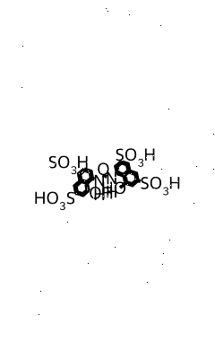 O=C(Nc1cc(S(=O)(=O)O)cc2cc(S(=O)(=O)O)cc(O)c12)Nc1cc(S(=O)(=O)O)cc2cc(S(=O)(=O)O)cc(O)c12